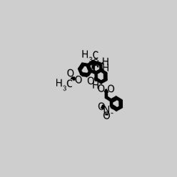 CC(=O)Oc1ccc2c3c1O[C@H]1[C@@H](OC(=O)Cc4ccccc4[N+](=O)[O-])C=C[C@H]4[C@@H](C2)N(C)CC[C@@]341